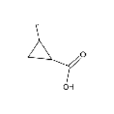 [CH2]C1CC1C(=O)O